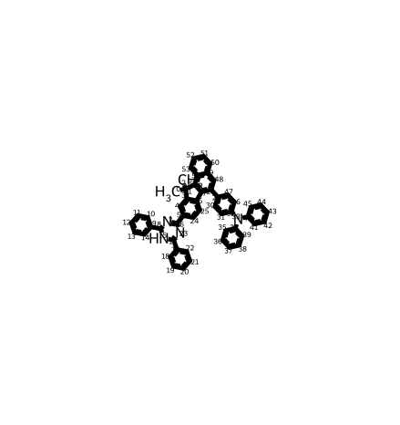 CC1(C)c2cc(C3=NC(c4ccccc4)NC(c4ccccc4)=N3)ccc2-c2c(-c3ccc(N(c4ccccc4)c4ccccc4)cc3)cc3ccccc3c21